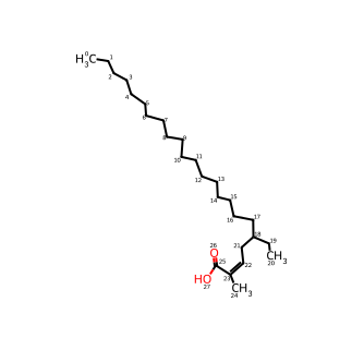 CCCCCCCCCCCCCCCCCCC(CC)CC=C(C)C(=O)O